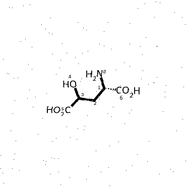 N[C@@H](CC(O)C(=O)O)C(=O)O